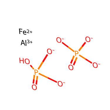 O=P([O-])([O-])O.O=P([O-])([O-])[O-].[Al+3].[Fe+2]